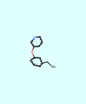 CC(C)(C)Cc1cccc(Oc2cccnc2)c1